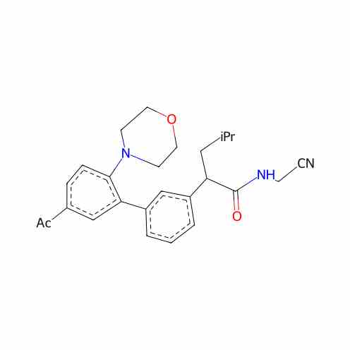 CC(=O)c1ccc(N2CCOCC2)c(-c2cccc(C(CC(C)C)C(=O)NCC#N)c2)c1